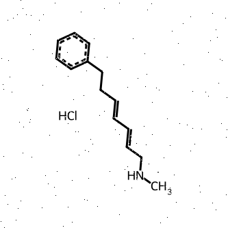 CNC/C=C/C=C/CCc1ccccc1.Cl